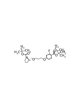 CC(C)(C)OC(=O)N1CCC[C@H]1COCCCOc1ccc(B2OC(C)(C)C(C)(C)O2)c(F)c1